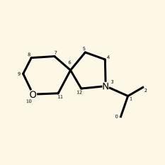 CC(C)N1CCC2(CCCOC2)C1